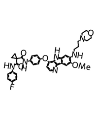 COc1cc2c(cc1NCCCN1CCOCC1)[nH]c1c(Oc3ccc(NC(=O)C4(C(=O)Nc5ccc(F)cc5)CC4)cc3)ccnc12